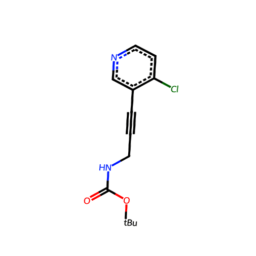 CC(C)(C)OC(=O)NCC#Cc1cnccc1Cl